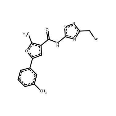 CC(=O)Cc1nsc(NC(=O)c2cc(-c3cccc(C)c3)oc2C)n1